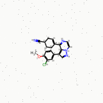 COc1ccc(-c2cnn3ccnc(C4=CCC(C#N)CC4)c23)cc1Cl